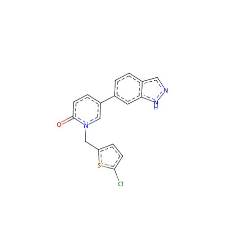 O=c1ccc(-c2ccc3cn[nH]c3c2)cn1Cc1ccc(Cl)s1